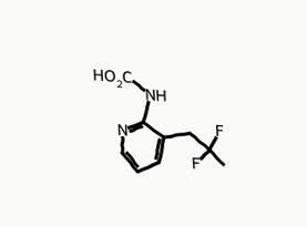 CC(F)(F)Cc1cccnc1NC(=O)O